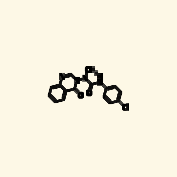 CN(C(=O)Nc1ccc(Cl)cc1)n1cnc2ccccc2c1=O